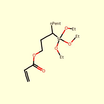 C=CC(=O)OCCC(CCCCC)[Si](OCC)(OCC)OCC